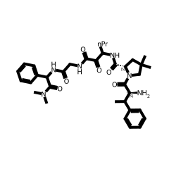 CCCC(NC(=O)[C@@H]1CC(C)(C)CN1C(=O)[C@@H](N)C(C)c1ccccc1)C(=O)C(=O)NCC(=O)NC(C(=O)N(C)C)c1ccccc1